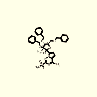 C[C@@]1(OCc2ccccc2)[C@H](OCc2ccccc2)[C@@H](COCc2ccccc2)OC1(O)c1ccc2c(N)nc(S(C)(=O)=O)nn12